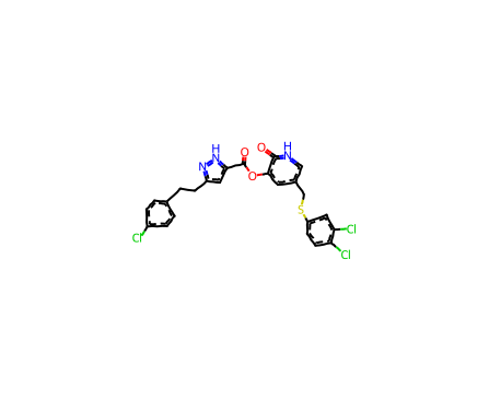 O=C(Oc1cc(CSc2ccc(Cl)c(Cl)c2)c[nH]c1=O)c1cc(CCc2ccc(Cl)cc2)n[nH]1